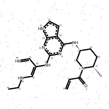 C=CC(=O)N1C[C@H](Nc2nc(N/C(C=N)=C/NCC)nc3[nH]ccc23)CC[C@@H]1C